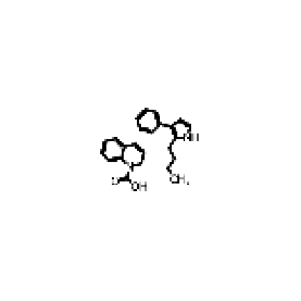 CCCCc1[nH]ccc1-c1ccccc1.O=C(O)N1CC=Cc2ccccc21